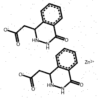 O=C([O-])CC1NNC(=O)c2ccccc21.O=C([O-])CC1NNC(=O)c2ccccc21.[Zn+2]